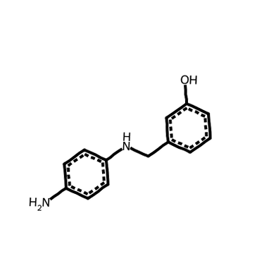 Nc1ccc(NCc2cccc(O)c2)cc1